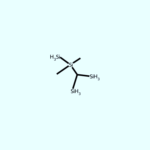 C[Si](C)([SiH3])C([SiH3])[SiH3]